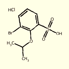 CC(C)Oc1c(Br)cccc1S(=O)(=O)O.Cl